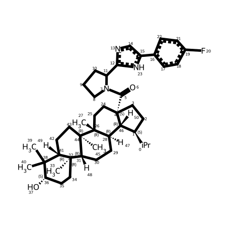 CC(C)[C@@H]1CC[C@]2(C(=O)N3CCCC3c3ncc(-c4ccc(F)cc4)[nH]3)CC[C@]3(C)[C@H](CC[C@@H]4[C@@]5(C)CC[C@H](O)C(C)(C)[C@@H]5CC[C@]43C)[C@@H]12